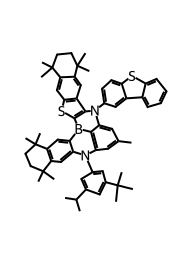 Cc1cc2c3c(c1)N(c1ccc4sc5ccccc5c4c1)c1c(sc4cc5c(cc14)C(C)(C)CCC5(C)C)B3c1cc3c(cc1N2c1cc(C(C)C)cc(C(C)(C)C)c1)C(C)(C)CCC3(C)C